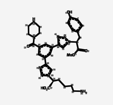 COC(=O)[C@H](Cc1ccc(O)cc1)n1cc(-c2cc(C(=O)N3CCNCC3)cc(-c3cn([C@@H](CCCCN)C(=O)O)nn3)c2)nn1